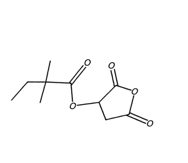 CCC(C)(C)C(=O)OC1CC(=O)OC1=O